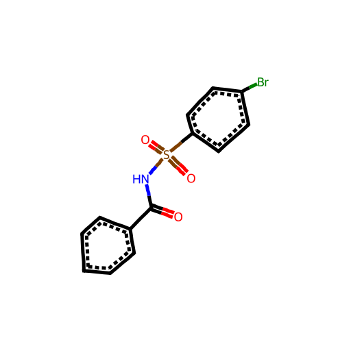 O=C(NS(=O)(=O)c1ccc(Br)cc1)c1ccccc1